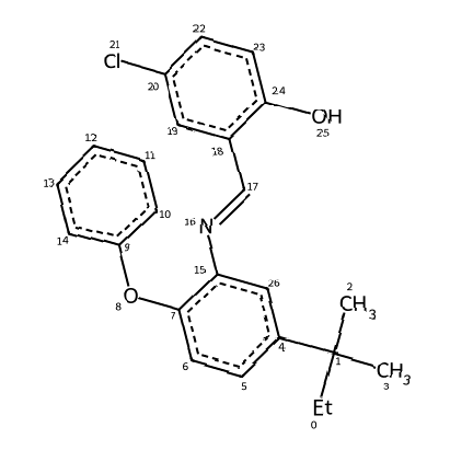 CCC(C)(C)c1ccc(Oc2ccccc2)c(N=Cc2cc(Cl)ccc2O)c1